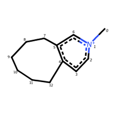 C[n+]1ccc2c(c1)CCCCCC2